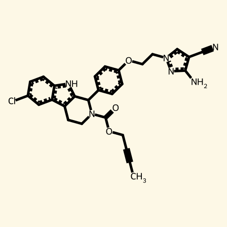 CC#CCOC(=O)N1CCc2c([nH]c3ccc(Cl)cc23)C1c1ccc(OCCn2cc(C#N)c(N)n2)cc1